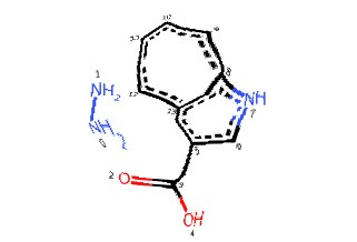 NN.O=C(O)c1c[nH]c2ccccc12